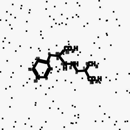 CC(CNN[C@@H](Cc1ccncc1)C(=O)O)C(=O)O